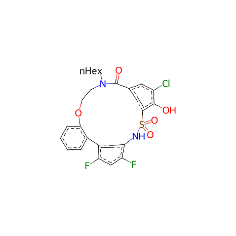 CCCCCCN1CCOc2ccccc2-c2cc(c(F)cc2F)NS(=O)(=O)c2cc(cc(Cl)c2O)C1=O